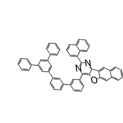 c1ccc(-c2cc(-c3ccccc3)cc(-c3cccc(-c4cccc(-c5nc(-c6cccc7ccccc67)nc6c5oc5cc7ccccc7cc56)c4)c3)c2)cc1